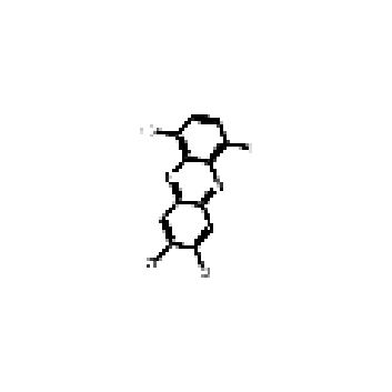 Oc1ccc(I)c2nc3cc(Cl)c(Cl)cc3nc12